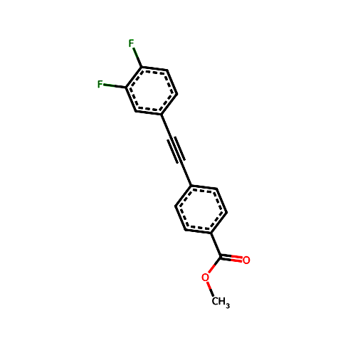 COC(=O)c1ccc(C#Cc2ccc(F)c(F)c2)cc1